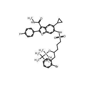 CNC(=O)c1c(-c2ccc(F)cc2)oc2cc(NS(=O)(=O)CCCC(Cc3ccccc3Br)O[Si](C)(C)C(C)(C)C)c(C3CC3)cc12